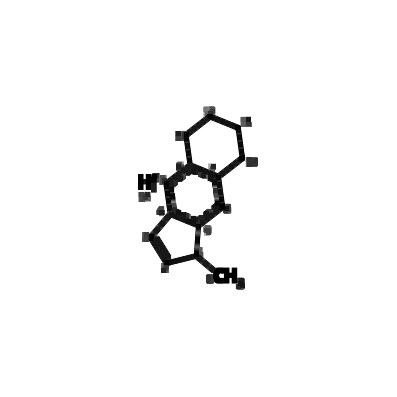 CC1C=Cc2cc3c(cc21)CCCC3.[Hf]